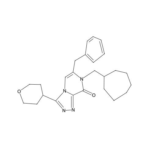 O=c1c2nnc(C3CCOCC3)n2cc(Cc2ccccc2)n1CC1CCCCCC1